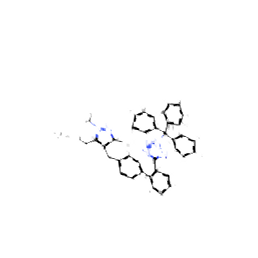 CCCCc1nn(CC(F)(F)F)c(COC)c1Cc1ccc(-c2ccccc2-c2nnn(C(c3ccccc3)(c3ccccc3)c3ccccc3)n2)cc1